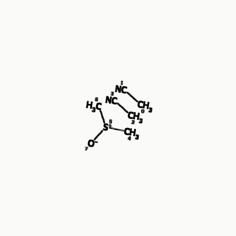 CC#N.CC#N.C[S+](C)[O-]